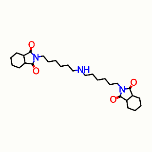 O=C1C2CCCCC2C(=O)N1CCCCCCNCCCCCCN1C(=O)C2CCCCC2C1=O